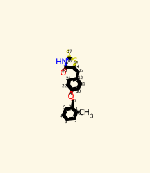 Cc1ccccc1COc1ccc(/C=C2/SC(=S)NC2=O)cc1